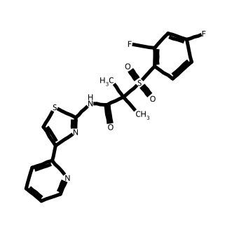 CC(C)(C(=O)Nc1nc(-c2ccccn2)cs1)S(=O)(=O)c1ccc(F)cc1F